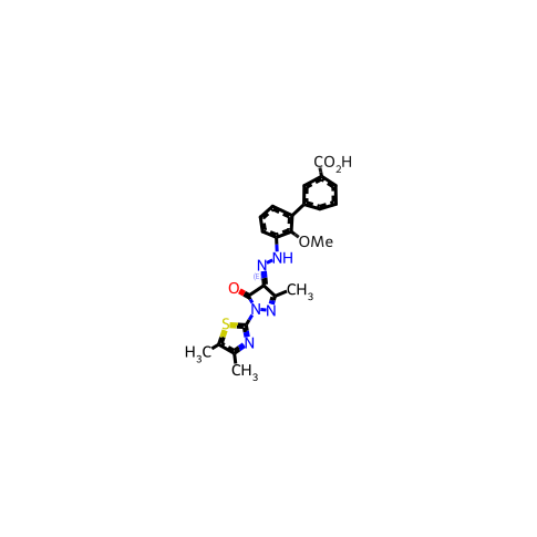 COc1c(N/N=C2/C(=O)N(c3nc(C)c(C)s3)N=C2C)cccc1-c1cccc(C(=O)O)c1